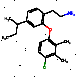 CCC(C)c1ccc(CCN)c(Oc2ccc(Cl)c(C)c2C)c1